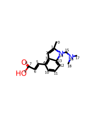 Cc1cc2c(C=CC(=O)O)cccc2n1CN(C)C